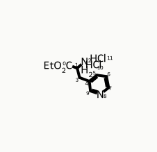 CCOC(=O)C(N)Cc1cccnc1.Cl.Cl